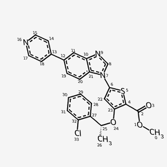 COC(=O)c1sc(-n2cnc3cc(-c4ccncc4)ccc32)cc1O[C@H](C)c1ccccc1Cl